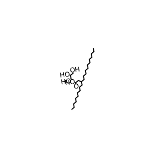 CCCCCCCCCCCCC(CCCCCCCCCC)CC(=O)O.OCC(O)CO